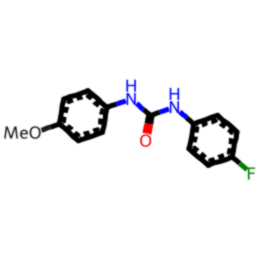 COc1ccc(NC(=O)Nc2ccc(F)cc2)cc1